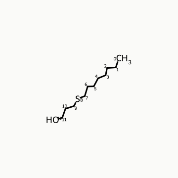 CCCCCCCCSCCCO